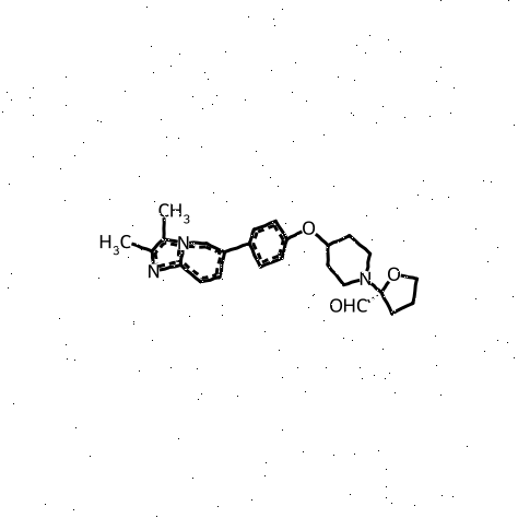 Cc1nc2ccc(-c3ccc(OC4CCN([C@]5(C=O)CCCO5)CC4)cc3)cn2c1C